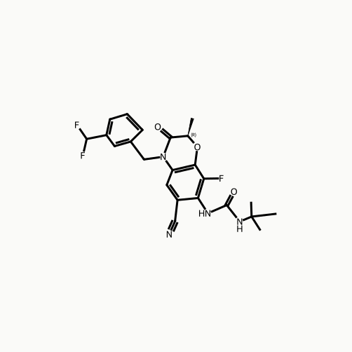 C[C@H]1Oc2c(cc(C#N)c(NC(=O)NC(C)(C)C)c2F)N(Cc2cccc(C(F)F)c2)C1=O